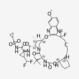 COc1ccc2nc3c(nc2c1)O[C@H]1CN(C(=O)[C@H](C(C)(C)C)NC(=O)O[C@@H]2CCCC[C@H]2CCCCC3(F)F)[C@H](C(=O)N[C@]2(C(=O)NS(=O)(=O)C3CC3)CC2C(F)F)[C@@H]1C